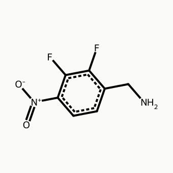 NCc1ccc([N+](=O)[O-])c(F)c1F